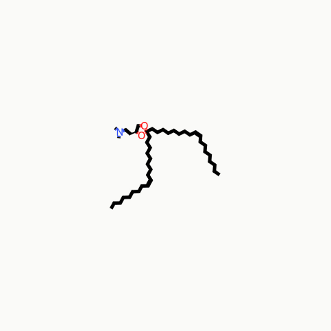 CCCCCCCC/C=C\CCCCCCCCC1(CCCCCCCC/C=C\CCCCCCCC)OC[C@H](CCN(C)C)O1